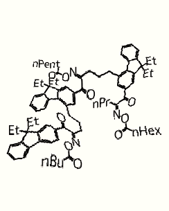 CCCCCCC(=O)O/N=C(/CCC)C(=O)c1cc(CCC/C(=N/OC(=O)CCCCC)C(=O)c2cc(CCC/C(=N/OC(=O)CCCC)C(=O)c3ccc4c(c3)C(CC)(CC)c3ccccc3-4)c3c(c2)C(CC)(CC)c2ccccc2-3)c2c(c1)C(CC)(CC)c1ccccc1-2